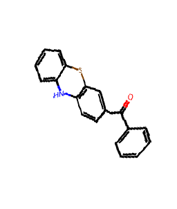 O=C(c1ccccc1)c1ccc2c(c1)Sc1ccccc1N2